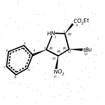 CCOC(=O)[C@@H]1N[C@H](c2ccccc2)[C@H]([N+](=O)[O-])[C@@H]1C(C)(C)C